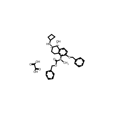 CN(C(=O)OCc1ccccc1)c1c(OCc2ccccc2)ccc2c1CC[C@@H](NC1CCC1)[C@@H]2O.O=C(O)C(=O)O